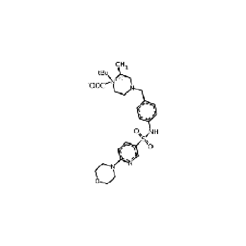 C[C@H]1CN(Cc2ccc(NS(=O)(=O)c3ccc(N4CCOCC4)nc3)cc2)CC[N+]1(C(=O)[O-])C(C)(C)C